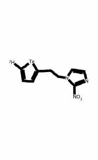 [2H]c1ccc(CCn2ccnc2[N+](=O)[O-])[te]1